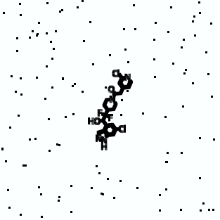 O=C(Cc1ccnc(Cl)c1)N1CCC(C(F)(F)C(O)c2cc(Cl)cc3[nH]ncc23)CC1